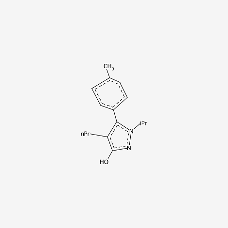 CCCc1c(O)nn(C(C)C)c1-c1ccc(C)cc1